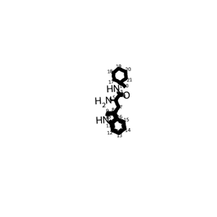 CC1(NC(=O)[C@H](N)Cc2c[nH]c3ccccc23)CCCCC1